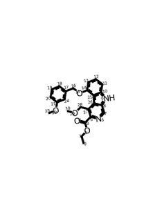 CCOC(=O)c1ncc2[nH]c3cccc(OCc4cccc(OC)c4)c3c2c1COC